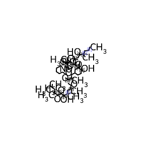 C/C=C/C=C(\C)[C@@H](O)C[C@@H]1CC[C@@H](C)[C@](O)(C(=O)C(=O)N2CCCCC2C(=O)O[C@@H](CC(=O)[C@H](C)/C=C(\C)[C@@H](O)[C@@H](OC)C(=O)[C@H](C)CC(C)C)[C@H](C)CC2CC[C@@H](O)[C@H](OC)C2)O1